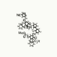 COC(=O)COc1cc(OCc2cccc(-c3cccc(COc4cc(OCc5cncc(C#N)c5)c(CN5CCCCC5C(=O)O)cc4Cl)c3C)c2C)c(Cl)cc1CN1CCCCC1C(=O)O